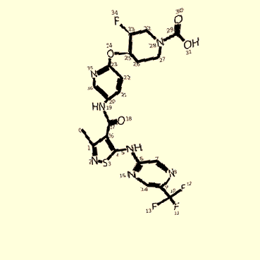 Cc1nsc(Nc2cnc(C(F)(F)F)cn2)c1C(=O)Nc1ccc(O[C@@H]2CCN(C(=O)O)C[C@@H]2F)nc1